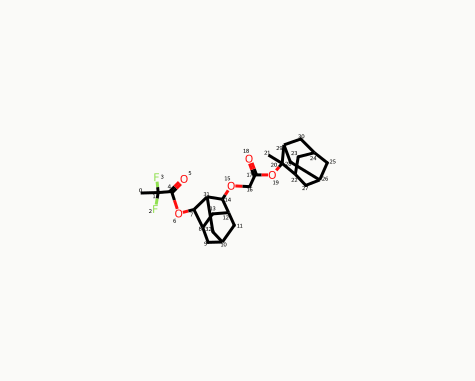 CC(F)(F)C(=O)OC1C2CC3CC(C2)C(OCC(=O)OC2(C)C4CC5CC(C4)CC2C5)C1C3